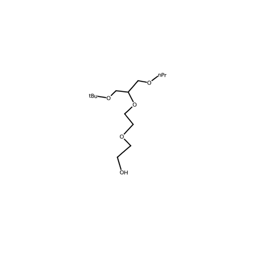 CCCOCC(COC(C)(C)C)OCCOCCO